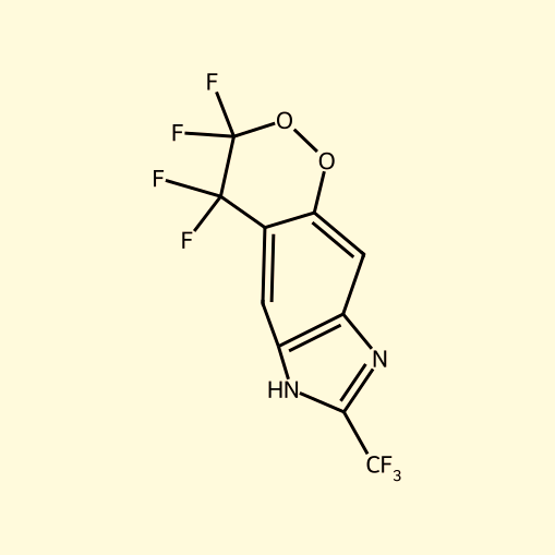 FC(F)(F)c1nc2cc3c(cc2[nH]1)C(F)(F)C(F)(F)OO3